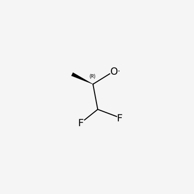 C[C@@H]([O])C(F)F